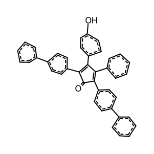 O=C1C(c2ccc(-c3ccccc3)cc2)=C(c2ccccc2)C(c2ccc(O)cc2)=C1c1ccc(-c2ccccc2)cc1